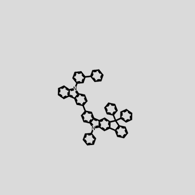 c1ccc(-c2cccc(-n3c4ccccc4c4cc(-c5ccc6c(c5)c5cc7c(cc5n6-c5ccccc5)-c5ccccc5C7(c5ccccc5)c5ccccc5)ccc43)c2)cc1